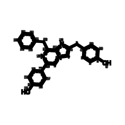 Oc1ccc(Cc2cn3cc(-c4ccc(O)cc4)nc(Cc4ccccc4)c3n2)cc1